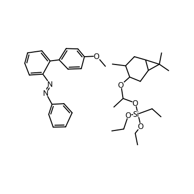 CCO[Si](CC)(OCC)OC(C)OC1CC2C(CC1C)C2(C)C.COc1ccc(-c2ccccc2N=Nc2ccccc2)cc1